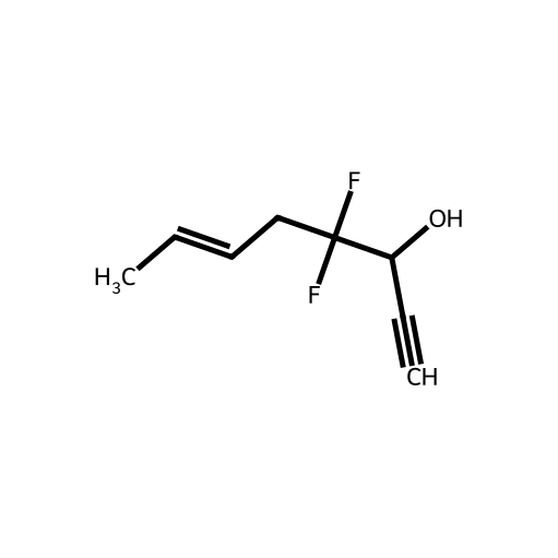 C#CC(O)C(F)(F)CC=CC